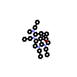 c1ccc(-c2ccc(N(c3ccccc3)c3cc(-c4ccc5c(c4)C4(c6ccccc6-5)c5ccccc5-c5c(-c6cc(N(c7ccccc7)c7ccc(-c8ccccc8)cc7)cc(N(c7ccccc7)c7ccc(-c8ccccc8)cc7)c6)cccc54)cc(N(c4ccccc4)c4ccc(-c5ccccc5)cc4)c3)cc2)cc1